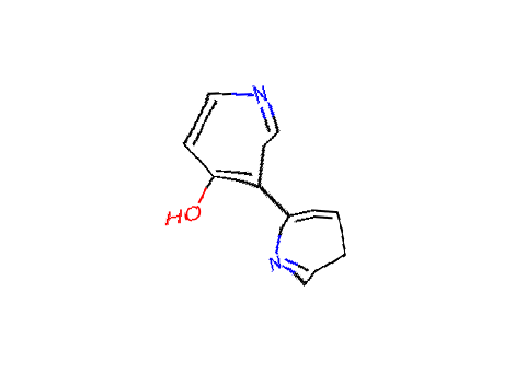 Oc1ccncc1C1=CCC=N1